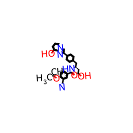 CC(C)Oc1ccc(C(=O)N[C@H](CCO)Cc2ccc(-c3cn4cccc(O)c4n3)cc2)cc1C#N